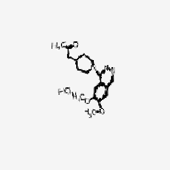 COc1cc2cnnc(N3CCC(CC(C)=O)CC3)c2cc1OC.Cl